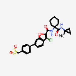 N#CC1(NC(=O)C2(NC(=O)c3oc4cc(-c5ccc(C[SH](=O)=O)cc5)ccc4c3Cl)CCCCC2)CC1